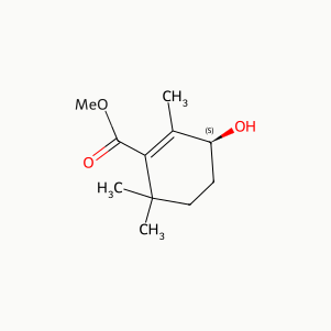 COC(=O)C1=C(C)[C@@H](O)CCC1(C)C